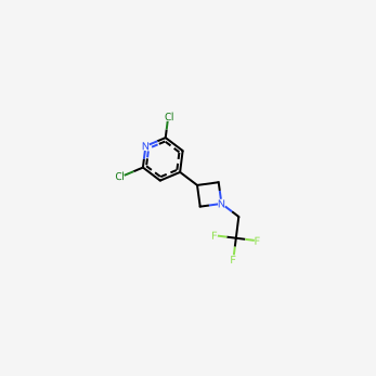 FC(F)(F)CN1CC(c2cc(Cl)nc(Cl)c2)C1